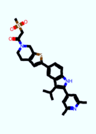 Cc1cc(-c2[nH]c3ccc(-c4cc5c(s4)CN(C(=O)CS(C)(=O)=O)CC5)cc3c2C(C)C)cc(C)n1